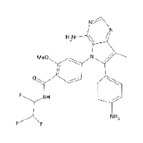 COc1cc(-n2c(-c3ccc(N)cc3)c(C)c3ncnc(N)c32)ccc1C(=O)NC(F)C(F)F